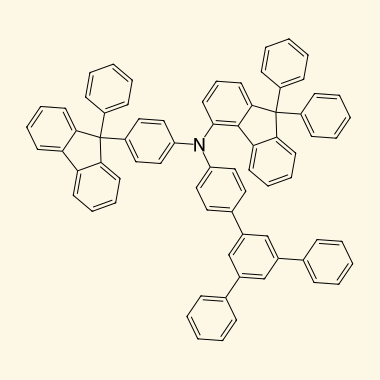 c1ccc(-c2cc(-c3ccccc3)cc(-c3ccc(N(c4ccc(C5(c6ccccc6)c6ccccc6-c6ccccc65)cc4)c4cccc5c4-c4ccccc4C5(c4ccccc4)c4ccccc4)cc3)c2)cc1